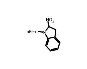 CCCCCN1c2ccccc2CC1[N+](=O)[O-]